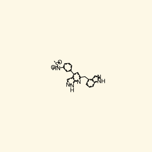 CS(=O)(=O)Nc1cccc(-c2cc(Cc3cccc4[nH]ncc34)nc3[nH]ncc23)c1